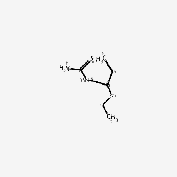 CCOC(CC)NC(N)=S